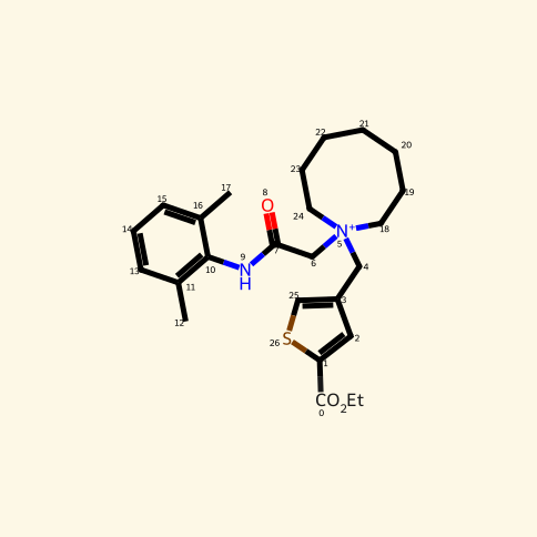 CCOC(=O)c1cc(C[N+]2(CC(=O)Nc3c(C)cccc3C)CCCCCCC2)cs1